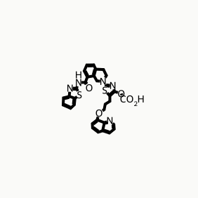 O=C(O)Oc1nc(N2CCc3cccc(C(=O)Nc4nc5ccccc5s4)c3C2)sc1CCCOc1cccc2cccnc12